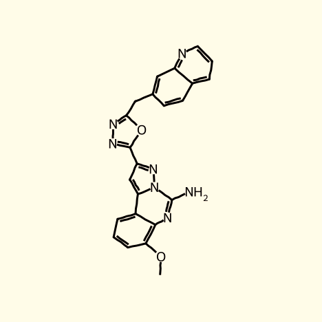 COc1cccc2c1nc(N)n1nc(-c3nnc(Cc4ccc5cccnc5c4)o3)cc21